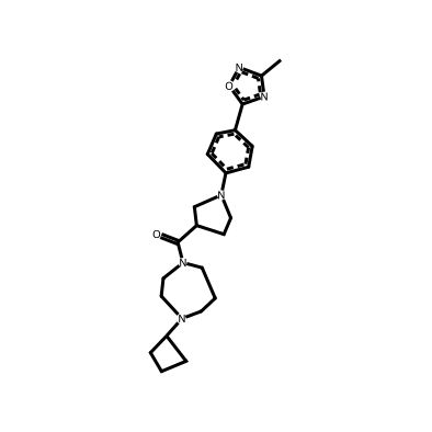 Cc1noc(-c2ccc(N3CCC(C(=O)N4CCCN(C5CCC5)CC4)C3)cc2)n1